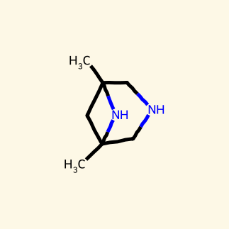 CC12CNCC(C)(C1)N2